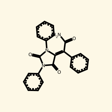 NC(=O)C(=C1C(=O)N(c2ccccc2)C(=O)N1c1ccccc1)c1ccccc1